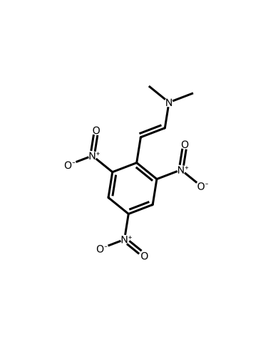 CN(C)C=Cc1c([N+](=O)[O-])cc([N+](=O)[O-])cc1[N+](=O)[O-]